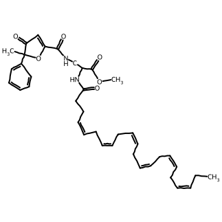 CC/C=C\C/C=C\C/C=C\C/C=C\C/C=C\C/C=C\CCC(=O)NC(CNC(=O)C1=CC(=O)C(C)(c2ccccc2)O1)C(=O)OC